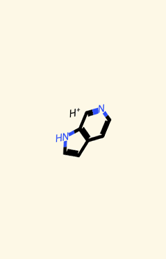 [H+].c1cc2cc[nH]c2cn1